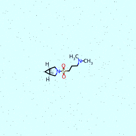 CN(C)CCCS(=O)(=O)N1C[C@H]2[CH][C@H]2C1